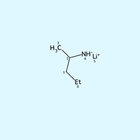 CCCC(C)[NH-].[Li+]